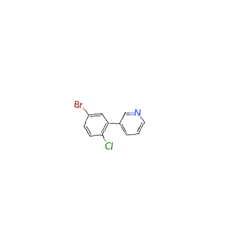 Clc1ccc(Br)cc1-c1cccnc1